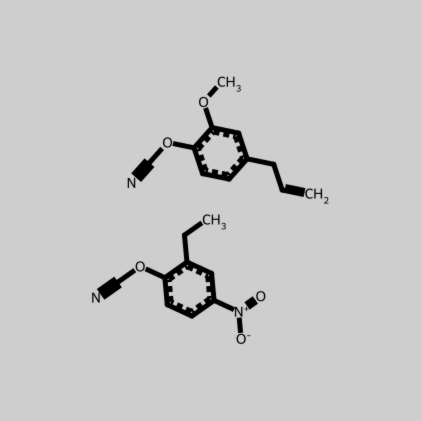 C=CCc1ccc(OC#N)c(OC)c1.CCc1cc([N+](=O)[O-])ccc1OC#N